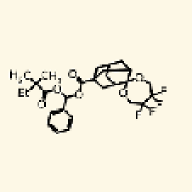 CCC(C)(C)C(=O)OC(OC(=O)C12CC3CC(C1)C1(OCC(F)(F)C(F)(F)CO1)C(C3)C2)c1ccccc1